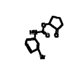 O=C(Nc1cccc(Br)c1)OC1CCCC1=O